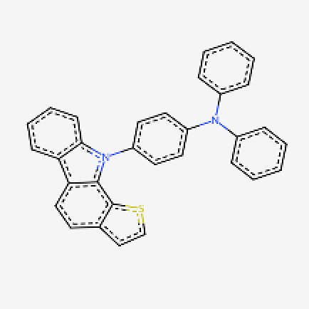 c1ccc(N(c2ccccc2)c2ccc(-n3c4ccccc4c4ccc5ccsc5c43)cc2)cc1